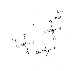 [Na+].[Na+].[Na+].[O]=[Mn](=[O])([O-])[F].[O]=[Mn](=[O])([O-])[F].[O]=[Mn](=[O])([O-])[F]